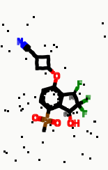 CS(=O)(=O)c1ccc(OC2CC(C#N)C2)c2c1[C@H](O)C(F)(F)[C@@H]2F